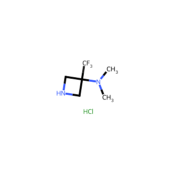 CN(C)C1(C(F)(F)F)CNC1.Cl